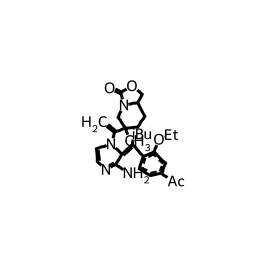 C=C(N1C=CN=C(N)/C1=C(\c1ccc(C(C)=O)cc1OCC)C(C)CC)C1(C)CCC2COC(=O)N2C1